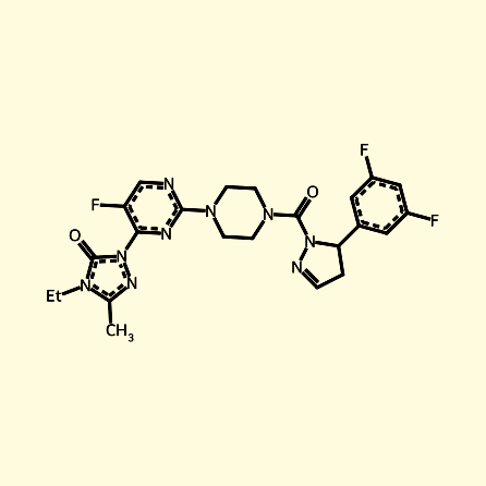 CCn1c(C)nn(-c2nc(N3CCN(C(=O)N4N=CCC4c4cc(F)cc(F)c4)CC3)ncc2F)c1=O